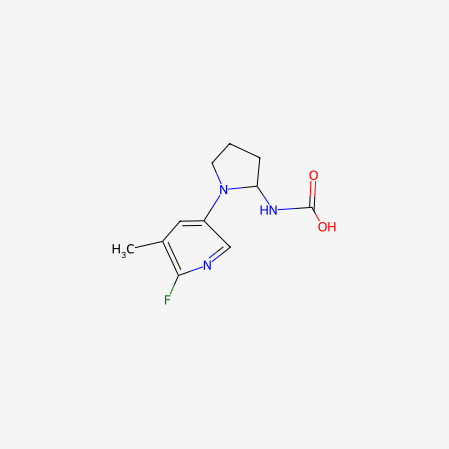 Cc1cc(N2CCCC2NC(=O)O)cnc1F